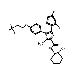 Cc1c(C(=O)N[C@@H]2CCCC[C@@H]2O)nc(-c2ccc(Cl)cc2Cl)n1-c1ccc(OCCC(F)(F)F)cc1